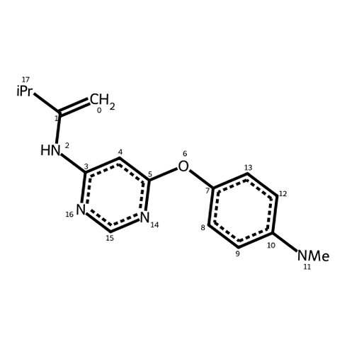 C=C(Nc1cc(Oc2ccc(NC)cc2)ncn1)C(C)C